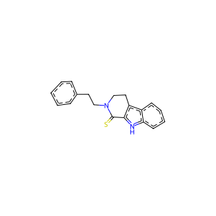 S=C1c2[nH]c3ccccc3c2CCN1CCc1ccccc1